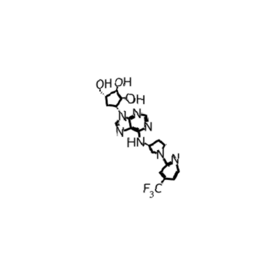 OC[C@H]1C[C@@H](n2cnc3c(N[C@H]4CCN(c5cc(C(F)(F)F)ccn5)C4)ncnc32)[C@H](O)[C@@H]1O